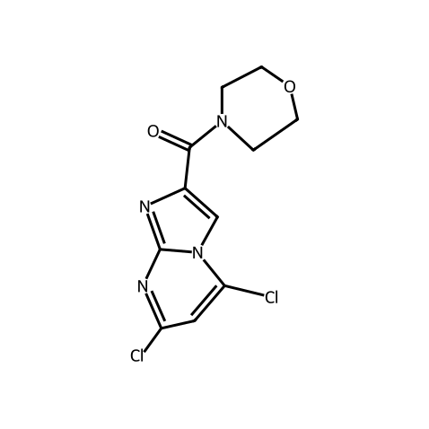 O=C(c1cn2c(Cl)cc(Cl)nc2n1)N1CCOCC1